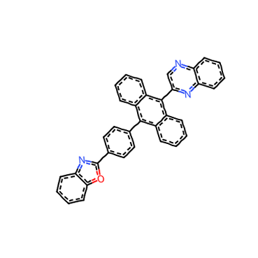 c1ccc2nc(-c3c4ccccc4c(-c4ccc(-c5nc6ccccc6o5)cc4)c4ccccc34)cnc2c1